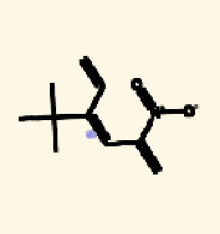 C=C/C(=C\C(=C)[N+](=O)[O-])C(C)(C)C